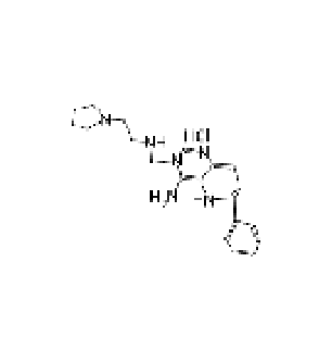 Cl.NC1=C2NC(c3ccccc3)=CC=C2N=CN1CNCCN1CCCC1